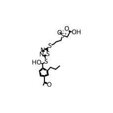 CCCc1cc(C(C)=O)ccc1C(O)Sc1nnc(SCCC[S+]([O-])CC(=O)O)s1